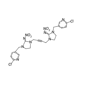 O=[N+]([O-])N=C1N(CC#CCN2CCN(Cc3ccc(Cl)nc3)C2=N[N+](=O)[O-])CCN1Cc1ccc(Cl)nc1